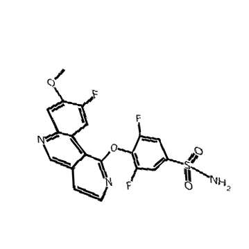 COc1cc2ncc3ccnc(Oc4c(F)cc(S(N)(=O)=O)cc4F)c3c2cc1F